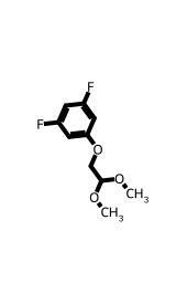 COC(COc1cc(F)cc(F)c1)OC